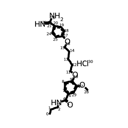 CCCNC(=O)c1ccc(OCCCCCOc2ccc(C(=N)N)cc2)c(OC)c1.Cl